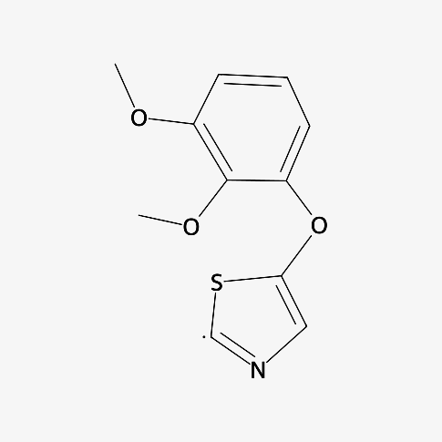 COc1cccc(Oc2cn[c]s2)c1OC